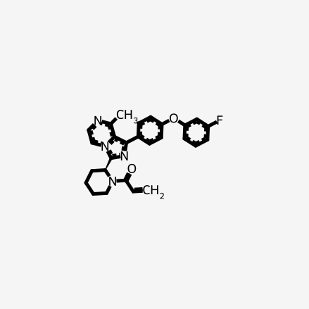 C=CC(=O)N1CCCC[C@H]1c1nc(-c2ccc(Oc3cccc(F)c3)cc2)c2c(C)nccn12